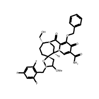 COC1C[C@]2(CC[C@H](CO)N3C[C@H]2n2cc(C(N)=O)c(=O)c(OCc4ccccc4)c2C3=O)ON1Cc1c(F)cc(F)cc1F